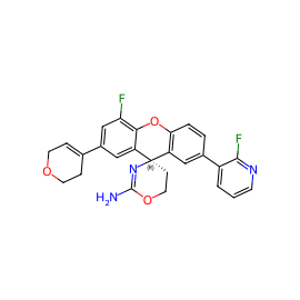 NC1=N[C@]2(CCO1)c1cc(-c3cccnc3F)ccc1Oc1c(F)cc(C3=CCOCC3)cc12